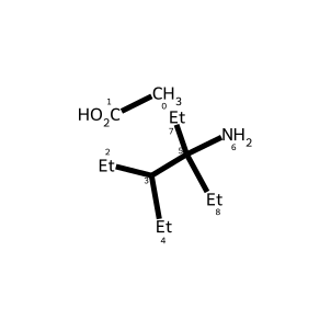 CC(=O)O.CCC(CC)C(N)(CC)CC